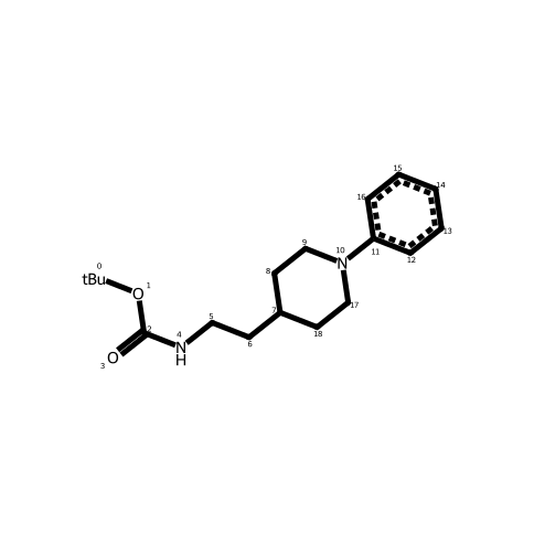 CC(C)(C)OC(=O)NCCC1CCN(c2ccccc2)CC1